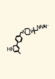 CC1=CNCC(c2ccc(CN3CCN(C(C)(C)CN=[N+]=[N-])CC3)cc2)=C1